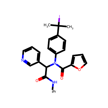 CC(C)NC(=O)C(c1cccnc1)N(C(=O)c1ccco1)c1ccc(C(C)(C)I)cc1